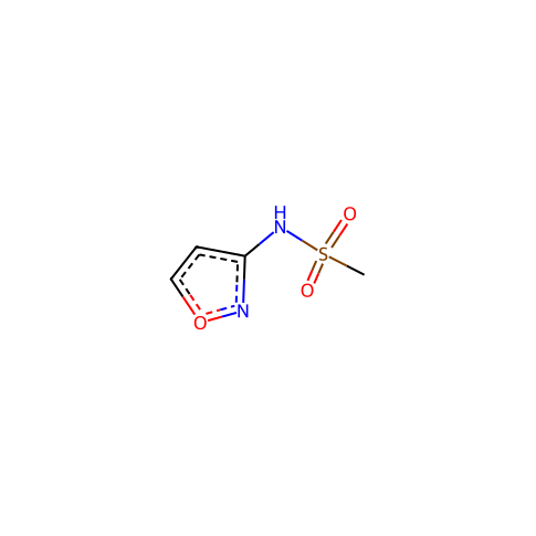 CS(=O)(=O)Nc1ccon1